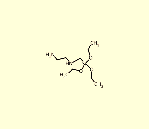 CCO[Si](CNCCN)(OCC)OCC